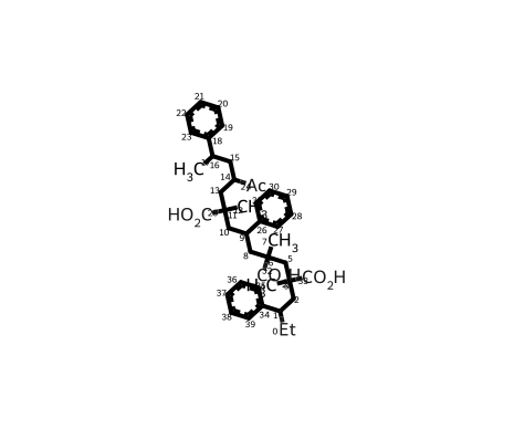 CCC(CC(C)(CC(C)(CC(CC(C)(CC(CC(C)c1ccccc1)C(C)=O)C(=O)O)c1ccccc1)C(=O)O)C(=O)O)c1ccccc1